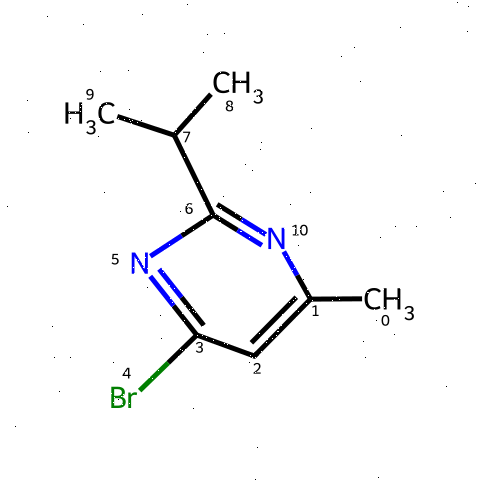 Cc1cc(Br)nc(C(C)C)n1